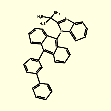 BC(B)(B)c1nc2ccccc2n1-c1c2ccccc2c(-c2cccc(-c3ccccc3)c2)c2ccccc12